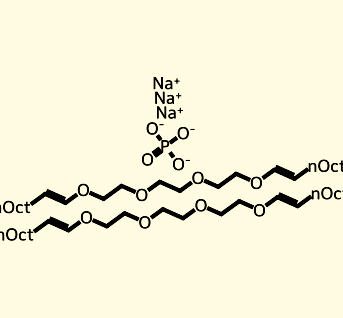 CCCCCCCCC=COCCOCCOCCOC=CCCCCCCCC.CCCCCCCCC=COCCOCCOCCOC=CCCCCCCCC.O=P([O-])([O-])[O-].[Na+].[Na+].[Na+]